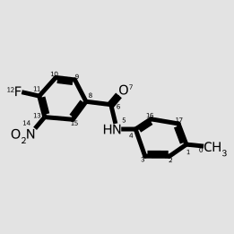 Cc1ccc(NC(=O)c2ccc(F)c([N+](=O)[O-])c2)cc1